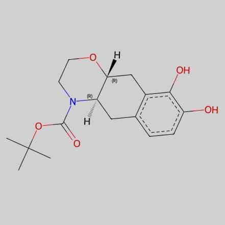 CC(C)(C)OC(=O)N1CCO[C@@H]2Cc3c(ccc(O)c3O)C[C@H]21